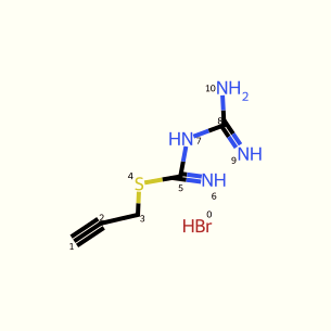 Br.C#CCSC(=N)NC(=N)N